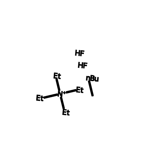 CCCCC.CC[N+](CC)(CC)CC.F.F